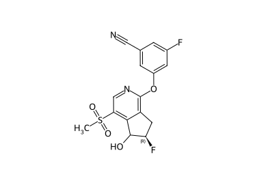 CS(=O)(=O)c1cnc(Oc2cc(F)cc(C#N)c2)c2c1C(O)[C@H](F)C2